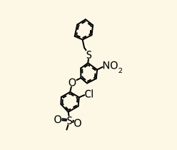 CS(=O)(=O)c1ccc(Oc2ccc([N+](=O)[O-])c(SCc3ccccc3)c2)c(Cl)c1